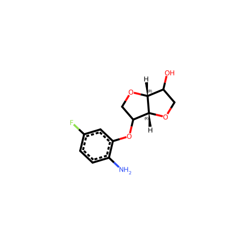 Nc1ccc(F)cc1OC1CO[C@@H]2C(O)CO[C@H]12